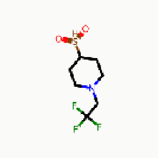 O=[SH](=O)C1CCN(CC(F)(F)F)CC1